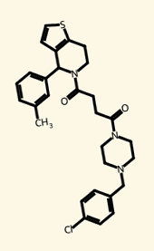 Cc1cccc(C2c3ccsc3CCN2C(=O)CCC(=O)N2CCN(Cc3ccc(Cl)cc3)CC2)c1